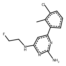 Cc1c(Cl)cccc1-c1cc(NCCF)nc(N)n1